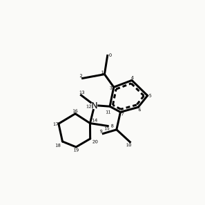 CC(C)c1cccc(C(C)C)c1N(C)C1(C)CCCCC1